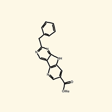 COC(=O)c1cnc2c(c1)[nH]c1nc(Cc3ccccc3)ncc12